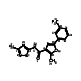 [2H]c1nsc(NC(=O)c2cc(-c3cccc(C(F)(F)F)c3)oc2C)n1